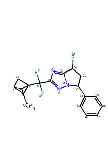 CC1C2CC1(C(F)(F)c1nc3n(n1)C(c1ccccc1)CC3F)C2